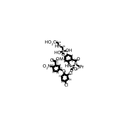 CC(C)N1C(=O)c2ccccc2NS1(=O)=O.COC(=O)c1cc(Oc2ccc(Cl)cc2Cl)ccc1[N+](=O)[O-].O=C(O)CNCP(=O)(O)O